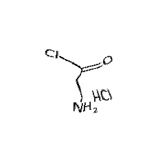 Cl.NC(=O)Cl